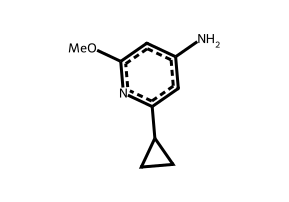 COc1cc(N)cc(C2CC2)n1